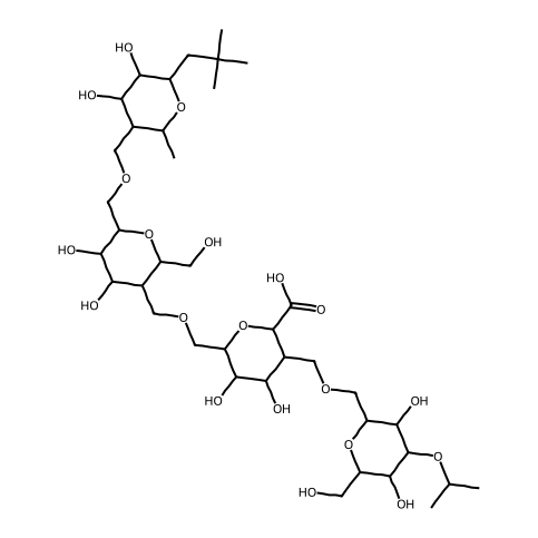 CC(C)OC1C(O)C(CO)OC(COCC2C(C(=O)O)OC(COCC3C(CO)OC(COCC4C(C)OC(CC(C)(C)C)C(O)C4O)C(O)C3O)C(O)C2O)C1O